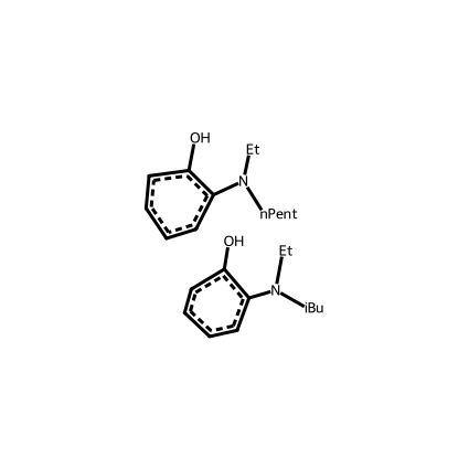 CCC(C)N(CC)c1ccccc1O.CCCCCN(CC)c1ccccc1O